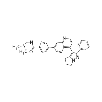 CN(C)/C=N\C(=O)c1ccc(-c2ccc3c(-c4c(-c5ccccn5)nn5c4CCC5)ccnc3c2)cc1